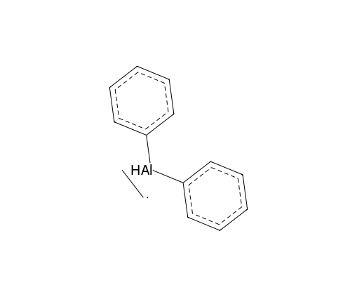 [CH2]C.c1cc[c]([AlH][c]2ccccc2)cc1